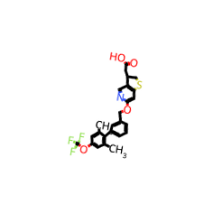 Cc1cc(OC(F)(F)F)cc(C)c1-c1cccc(COc2cc3c(cn2)C(CC(=O)O)CS3)c1